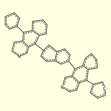 c1ccc(-c2c3ccccc3c(-c3ccc4cc(-c5c6ccccc6c(-c6ccccc6)c6ccncc56)ccc4c3)c3cnccc23)cc1